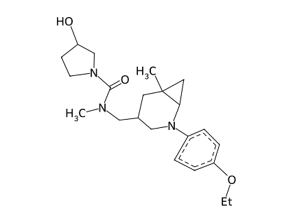 CCOc1ccc(N2CC(CN(C)C(=O)N3CCC(O)C3)CC3(C)CC23)cc1